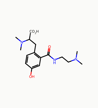 CN(C)CCNC(=O)c1cc(O)ccc1CC(C(=O)O)N(C)C